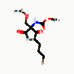 COOCC(NC(=O)OC(C)(C)C)(C(=O)CCCCBr)C(=O)OC